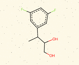 CC(c1cc(F)cc(F)c1)C(O)CO